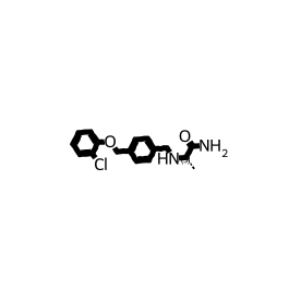 C[C@H](NCc1ccc(COc2ccccc2Cl)cc1)C(N)=O